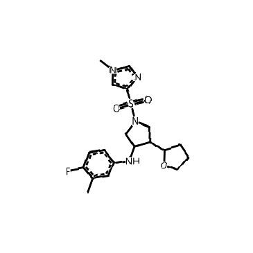 Cc1cc(NC2CN(S(=O)(=O)c3cn(C)cn3)CC2C2CCCO2)ccc1F